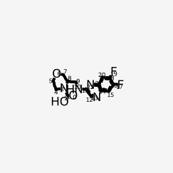 O=C(O)N1CCOCC1CNc1cnc2cc(F)c(F)cc2n1